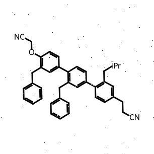 CC(C)Cc1cc(CCC#N)ccc1-c1ccc(-c2ccc(OCC#N)c(Cc3ccccc3)c2)c(Cc2ccccc2)c1